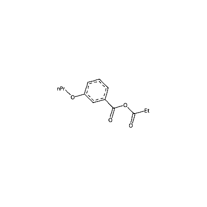 CCCOc1cccc(C(=O)OC(=O)CC)c1